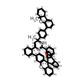 CC1(c2ccc(-c3cccc4c3OC3(C)C=CC=CC43)cc2)C=C(c2ccccc2-c2ccc3c(c2)Oc2ccccc2C32C3=C(CCC=C3)c3ccccc32)N=C(c2ccccc2)N1